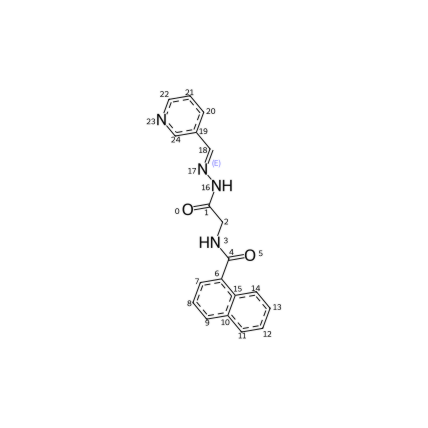 O=C(CNC(=O)c1cccc2ccccc12)N/N=C/c1cccnc1